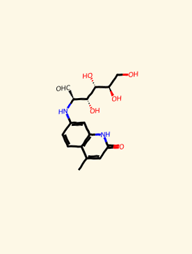 Cc1cc(=O)[nH]c2cc(N[C@@H](C=O)[C@@H](O)[C@H](O)[C@H](O)CO)ccc12